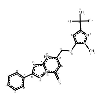 Cn1nc(C(C)(F)F)cc1OCc1cc(=O)n2nc(-c3ccccc3)nc2[nH]1